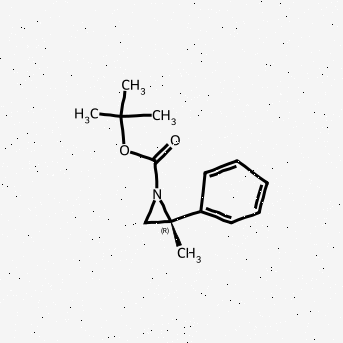 CC(C)(C)OC(=O)N1C[C@@]1(C)c1ccccc1